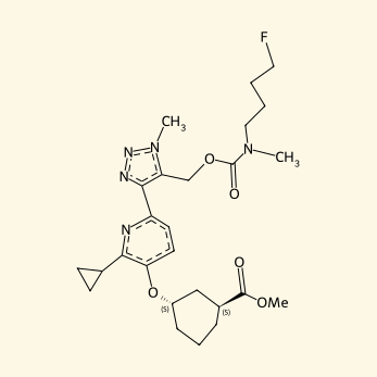 COC(=O)[C@H]1CCC[C@H](Oc2ccc(-c3nnn(C)c3COC(=O)N(C)CCCCF)nc2C2CC2)C1